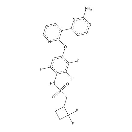 Nc1nccc(-c2cccnc2Oc2cc(F)c(NS(=O)(=O)CC3CCC3(F)F)c(F)c2F)n1